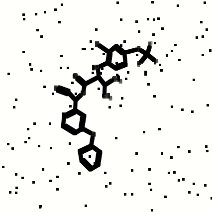 CC(C)C(Nc1ccc(SC(F)(F)F)cc1F)C(=O)OC(C#N)c1cccc(Oc2ccccc2)c1